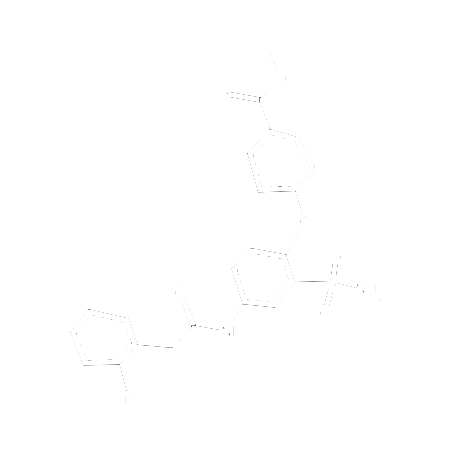 COC(=O)c1ccc(Oc2ccc(NC(=O)Cc3ccccc3Cl)cc2S(N)(=O)=O)cc1